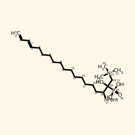 C=C/C=C/CCCCCCCCCCCCC(CCCCC)C(O)(C[N+](C)(C)C)P(=O)(O)O